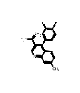 C=C(C)c1cnc2cc(C)ccc2c1-c1ccc(F)c(F)c1